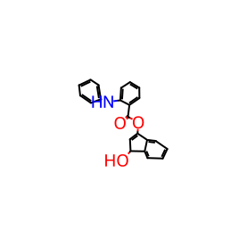 O=C(OC1=CC(O)c2ccccc21)c1ccccc1Nc1ccccc1